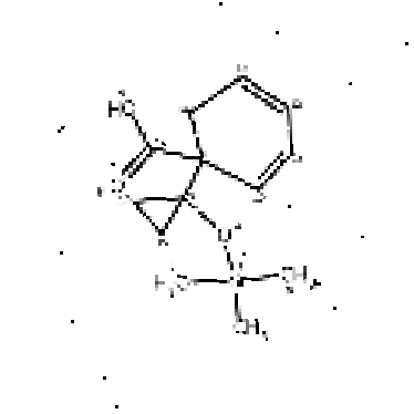 C[Si](C)(C)OC1(C2(C(=O)O)C=CC=CC2)CC1